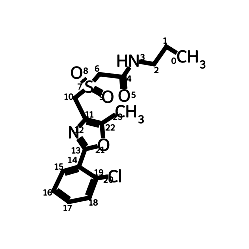 CCCNC(=O)CS(=O)(=O)Cc1nc(-c2ccccc2Cl)oc1C